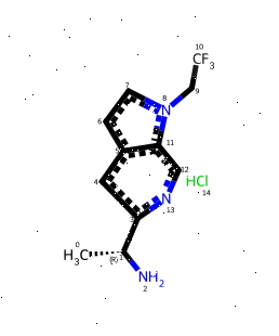 C[C@@H](N)c1cc2ccn(CC(F)(F)F)c2cn1.Cl